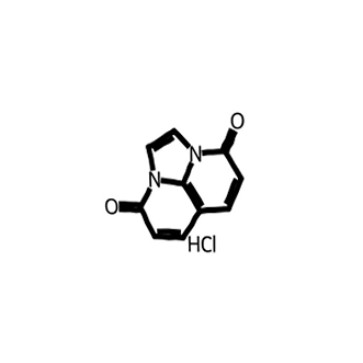 Cl.O=c1ccc2ccc(=O)n3ccn1c23